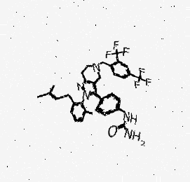 Cc1cccc(CCC(C)C)c1-n1nc2c(c1-c1ccc(NC(N)=O)cc1)CN(Cc1ccc(C(F)(F)F)cc1C(F)(F)F)CC2